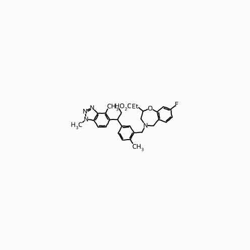 CCC1CN(Cc2cc(C(CC(=O)O)c3ccc4c(nnn4C)c3C)ccc2C)Cc2ccc(F)cc2O1